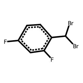 Fc1ccc(C(Br)Br)c(F)c1